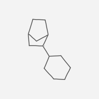 C1CCC([C]2CC3CCC2C3)CC1